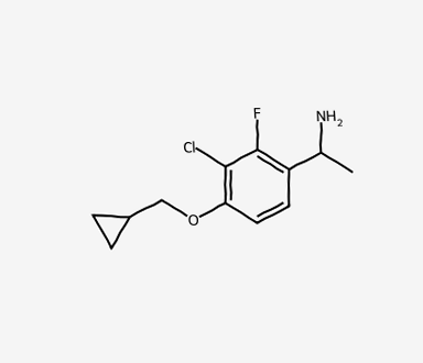 CC(N)c1ccc(OCC2CC2)c(Cl)c1F